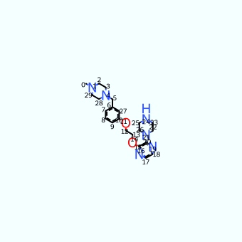 CN1CCN(Cc2cccc(OCCOc3nccnc3N3CCNCC3)c2)CC1